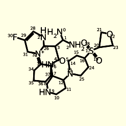 NC(N)C(C(=O)NC1CNCCC1N1CCC(S(=O)(=O)C2COC2)CC1)C1NC=C(F)C[N+]1=C1CCCCC1